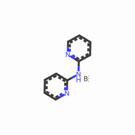 [B].c1ccc(Nc2ccccn2)nc1